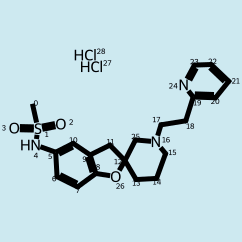 CS(=O)(=O)Nc1ccc2c(c1)CC1(CCCN(CCc3ccccn3)C1)O2.Cl.Cl